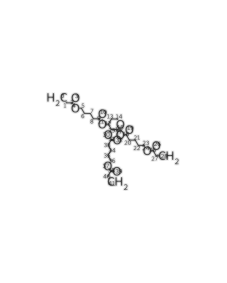 C=CC(=O)OCCCCC(=O)OC1CCOC(OC(=O)CCCCOC(=O)C=C)[C@@H]1OC(=O)CCCCOC(=O)C=C